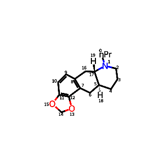 CCCN1CCC[C@H]2Cc3c(ccc4c3OCO4)C[C@@H]21